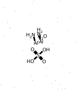 O.O=S(=O)(O)O.[NH2][Al].[NH2][Al]